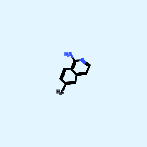 Cc1[c]cc2c(N)nccc2c1